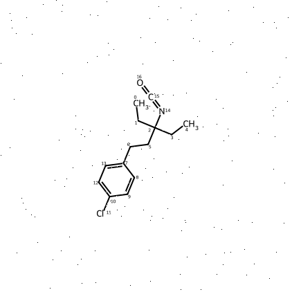 CCC(CC)(CCc1ccc(Cl)cc1)N=C=O